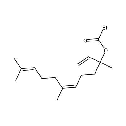 C=CC(C)(CCC=C(C)CCC=C(C)C)OC(=O)CC